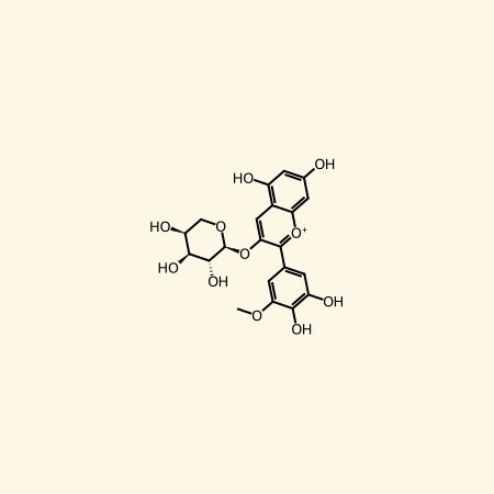 COc1cc(-c2[o+]c3cc(O)cc(O)c3cc2O[C@@H]2OC[C@H](O)[C@H](O)[C@H]2O)cc(O)c1O